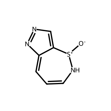 [O-][S+]1NC=CC=C2N=NC=C21